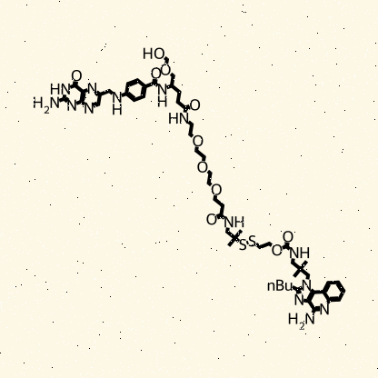 CCCCc1nc2c(N)nc3ccccc3c2n1CC(C)(C)CNC(=O)OCCSSC(C)(C)CNC(=O)CCOCCOCCOCCNC(=O)CCC(COCO)NC(=O)c1ccc(NCc2cnc3nc(N)[nH]c(=O)c3n2)cc1